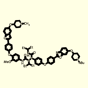 CCCCN1CCC(Oc2ccc3nc(-c4ccc(Oc5ccc(N(C(=O)NC(CC)CC)N(C(=O)Nc6ccc(Oc7ccc(-c8cc9cc(OC%10CCN(C)CC%10)ccc9o8)cc7)c(OC)c6)C(CC)CC)cc5)cc4)oc3c2)CC1